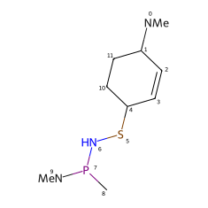 CNC1C=CC(SNP(C)NC)CC1